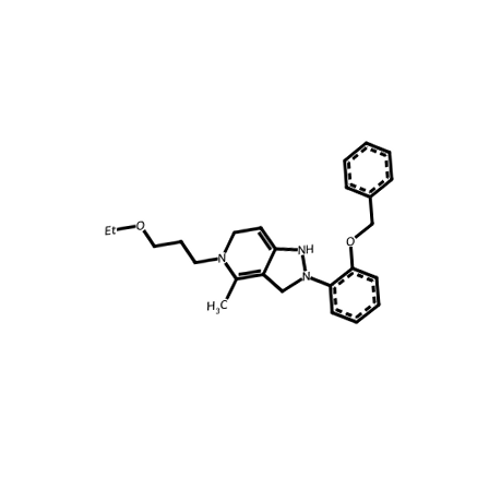 CCOCCCN1CC=C2NN(c3ccccc3OCc3ccccc3)CC2=C1C